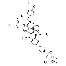 CCCC(C)Oc1nc(N(Cc2ccc(OC)cc2)Cc2ccc(OC)cc2)c2ncc(C(O)c3ccc(C4CCN(C(=O)OC(C)(C)C)CC4)nc3F)n2n1